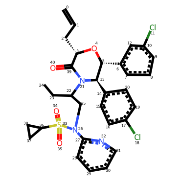 C=CC[C@@H]1O[C@H](c2cccc(Cl)c2)[C@@H](c2ccc(Cl)cc2)N(C(CC)CN(c2ccccn2)S(=O)(=O)C2CC2)C1=O